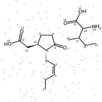 CC/C=C\C[C@H]1C(=O)CC[C@@H]1CC(=O)O.CCC(C)C(N)C(=O)O